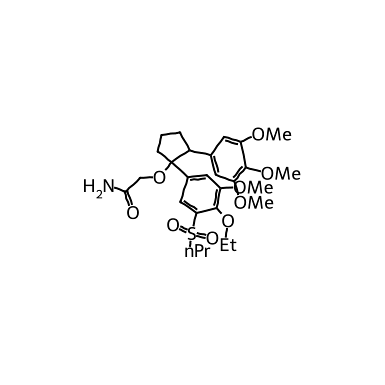 CCCS(=O)(=O)c1cc(C2(OCC(N)=O)CCCC2c2cc(OC)c(OC)c(OC)c2)cc(OC)c1OCC